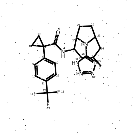 CC1CC(NC(=O)C2(c3ccc(C(F)(F)F)cc3)CC2)C2CCC(C1)N2c1nnn[nH]1